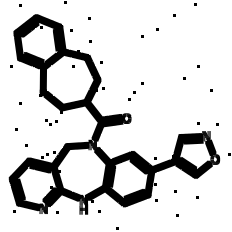 O=C(C1CCc2ccccc2CC1)N1Cc2cccnc2Nc2ccc(-c3cnoc3)cc21